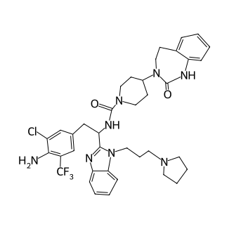 Nc1c(Cl)cc(CC(NC(=O)N2CCC(N3CCc4ccccc4NC3=O)CC2)c2nc3ccccc3n2CCCN2CCCC2)cc1C(F)(F)F